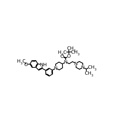 COc1ccc2[nH]c(-c3cccc(N4CCC(N(CCN5CCN(C(C)C)CC5)C(=O)OC(C)(C)C)CC4)c3)cc2c1